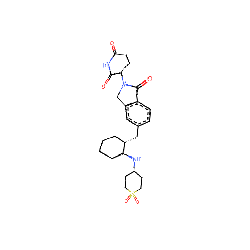 O=C1CCC(N2Cc3cc(C[C@H]4CCCC[C@@H]4NC4CCS(=O)(=O)CC4)ccc3C2=O)C(=O)N1